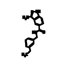 CCc1cccc(CNC(=O)c2ccc3[nH]nc(N)c3c2)c1